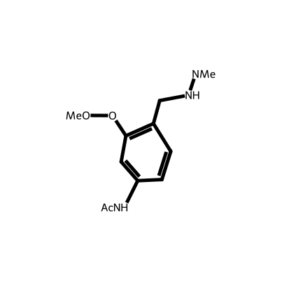 CNNCc1ccc(NC(C)=O)cc1OOC